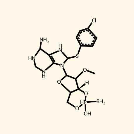 B[PH]1(O)OCC2OC(N3C4=C(NC3Sc3ccc(Cl)cc3)C(N)NCN4)C(OC)[C@@H]2O1